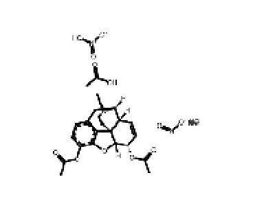 CC(=O)O.CC(=O)Oc1ccc2c3c1O[C@H]1[C@@H](OC(C)=O)C=C[C@H]4[C@@H](C2)N(C)CC[C@@]341.Cl.O=N[O-].O=[N+]([O-])O.[Na+]